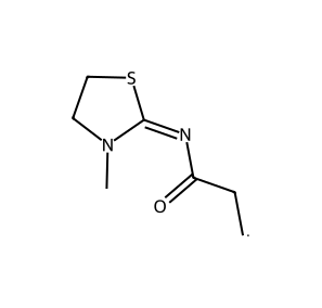 [CH2]CC(=O)N=C1SCCN1C